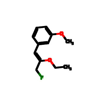 CCO/C(=C\c1cccc(OC)c1)CF